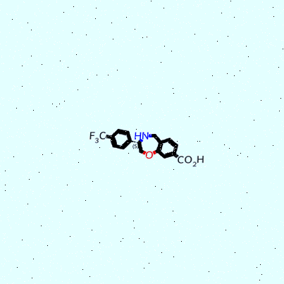 O=C(O)c1ccc2c(c1)OC[C@H](c1ccc(C(F)(F)F)cc1)NC2